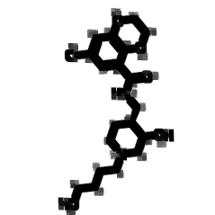 O=C(NC[C@@H]1CCN(CCCCO)CC1O)c1cc(Cl)cc2c1OCCO2